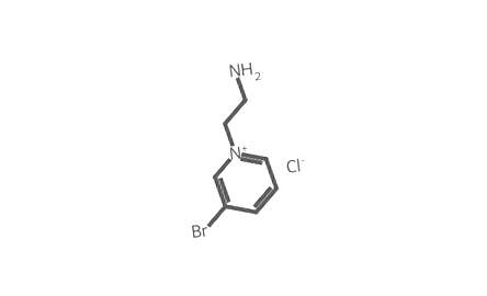 NCC[n+]1cccc(Br)c1.[Cl-]